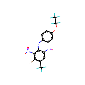 O=[N+]([O-])c1cc(C(F)(F)F)c(Br)c([N+](=O)[O-])c1Nc1ccc(OC(F)(F)C(F)(F)F)cc1